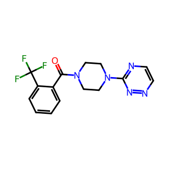 O=C(c1ccccc1C(F)(F)F)N1CCN(c2nccnn2)CC1